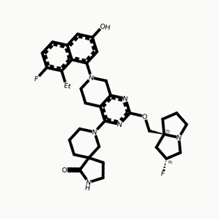 CCc1c(F)ccc2cc(O)cc(N3CCc4c(nc(OC[C@@]56CCCN5C[C@H](F)C6)nc4N4CCCC5(CCNC5=O)C4)C3)c12